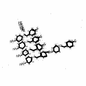 CCC[C@H]1CC[C@H](CCc2ccc([S])cc2)CC1.CCC[C@H]1CC[C@H](CCc2ccc([S])cc2)CC1.CCC[C@H]1CC[C@H](CCc2ccc([S])cc2)CC1.CCC[C@H]1CC[C@H](CCc2ccc([S])cc2)CC1.CCC[C@H]1CC[C@H](CCc2ccc([S])cc2)CC1.F.F.F.F.F